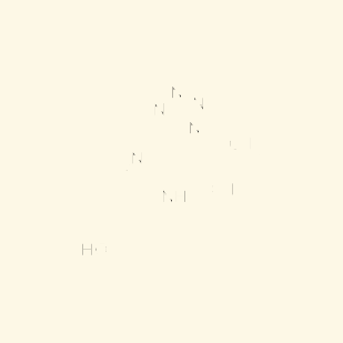 Cc1c(NCCCO)c(N)c2nnnn2c1C